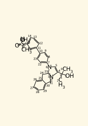 CC(C)(O)c1cn(-c2ccc(-c3cccc([SH](C)(C)=O)c3)cc2)c(Cc2ccccc2F)n1